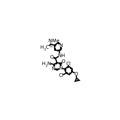 CN[C@@H](C)c1cncc(NC(=O)c2c(N)ncn(-c3c(Cl)cc(OC4CC4)cc3Cl)c2=O)c1